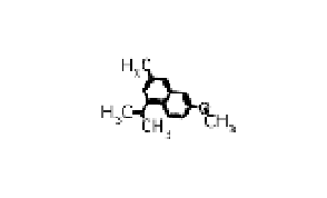 COc1ccc2c(C(C)C)cc(C)cc2c1